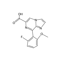 COc1cccc(F)c1-c1nc(C(=O)O)cn2ccnc12